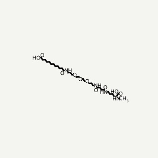 CN[C@@H](CCCCNC(=O)CCC(=O)NCCCOCCOCCOCCCNC(=O)CCCCCCCCCCC(=O)O)C(=O)O